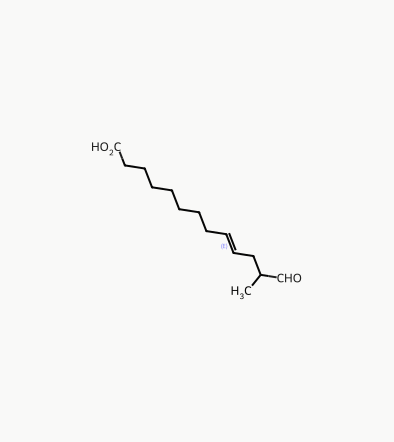 CC(C=O)C/C=C/CCCCCCCC(=O)O